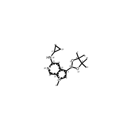 Cn1cc(B2OC(C)(C)C(C)(C)O2)c2cc(NC3CC3)ncc21